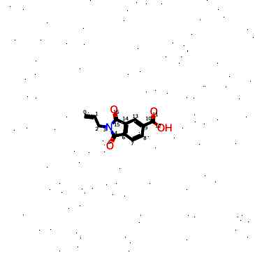 C=CCN1C(=O)c2ccc(C(=O)O)cc2C1=O